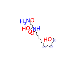 CC(O)/C=C\C/C=C\C/C=C\CCCCCCCC(=O)NC(CCC(N)=O)C(=O)O